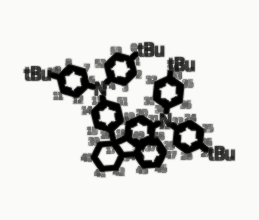 CC(C)(C)c1ccc(N(c2ccc(C(C)(C)C)cc2)c2ccc(C3(c4ccc(N(c5ccc(C(C)(C)C)cc5)c5ccc(C(C)(C)C)cc5)cc4)CCCCC3c3ccccc3)cc2)cc1